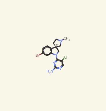 CN1CC[C@@]2(C1)CN(c1nc(N)ncc1Cl)c1cc(Br)ccc12